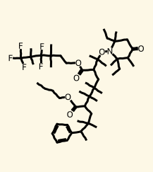 CCCCOC(=O)C(CC(C)(C)C(C)c1ccccc1)C(C)(C)C(C)(C)CC(C(=O)OCCC(C)(C)C(F)(F)C(C)(C)C(F)(F)F)C(C)(C)ON1C(C)(CC)CC(=O)C(C)C1(C)CC